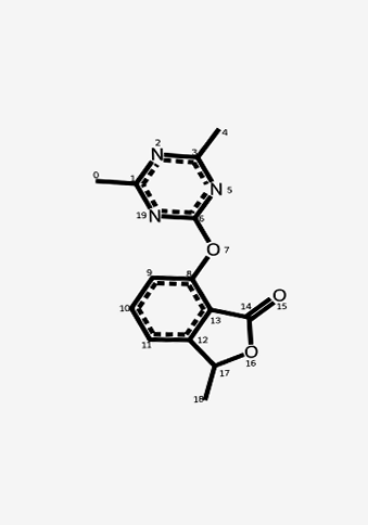 Cc1nc(C)nc(Oc2cccc3c2C(=O)OC3C)n1